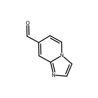 O=Cc1ccn2ccnc2c1